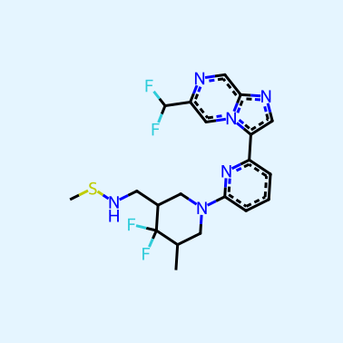 CSNCC1CN(c2cccc(-c3cnc4cnc(C(F)F)cn34)n2)CC(C)C1(F)F